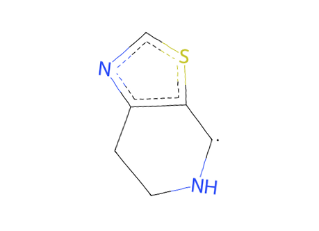 [CH]1NCCc2ncsc21